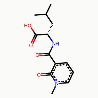 CC(C)C[C@H](NC(=O)c1cccn(C)c1=O)C(=O)O